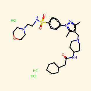 Cc1nn(-c2ccc(S(=O)(=O)NCCN3CCOCC3)cc2)c(C)c1CN1CCC(NC(=O)CC2CCCCC2)CC1.Cl.Cl.Cl